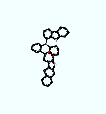 c1ccc(N(c2ccccc2-c2ccc3oc4cc5ccccc5cc4c3c2)c2cccc3c2sc2ccccc23)cc1